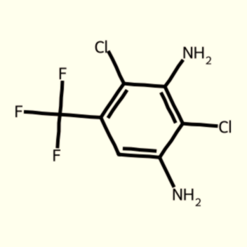 Nc1cc(C(F)(F)F)c(Cl)c(N)c1Cl